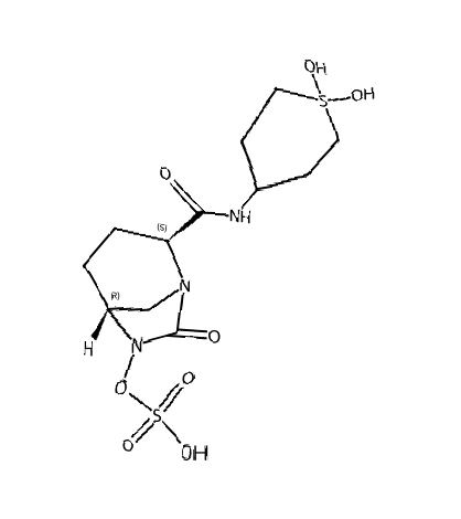 O=C(NC1CCS(O)(O)CC1)[C@@H]1CC[C@@H]2CN1C(=O)N2OS(=O)(=O)O